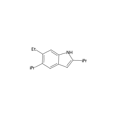 CCc1cc2[nH]c(C(C)C)cc2cc1C(C)C